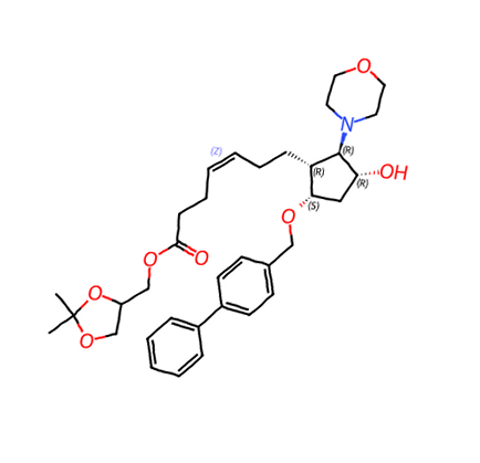 CC1(C)OCC(COC(=O)CC/C=C\CC[C@@H]2[C@@H](N3CCOCC3)[C@H](O)C[C@@H]2OCc2ccc(-c3ccccc3)cc2)O1